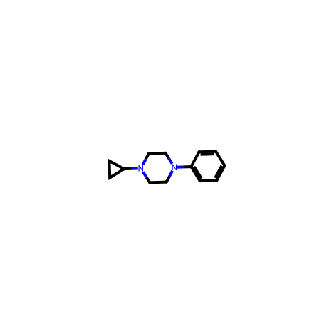 c1ccc(N2CCN(C3CC3)CC2)cc1